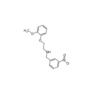 COc1ccccc1OCCNCc1cccc([N+](=O)[O-])c1